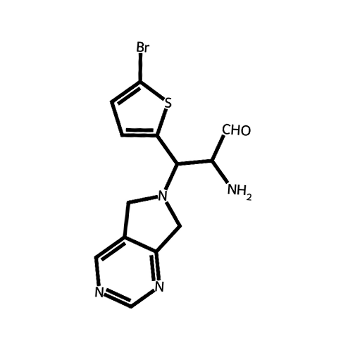 NC(C=O)C(c1ccc(Br)s1)N1Cc2cncnc2C1